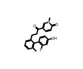 Cc1cccc(CCC(=O)c2ccc(=O)n(C)c2)c1-c1ccc(O)cc1F